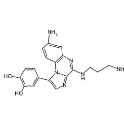 NCCCNc1nc2cc(N)ccc2n2c(-c3ccc(O)c(O)c3)cnc12